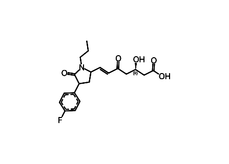 CCCN1C(=O)C(c2ccc(F)cc2)CC1C=CC(=O)C[C@@H](O)CC(=O)O